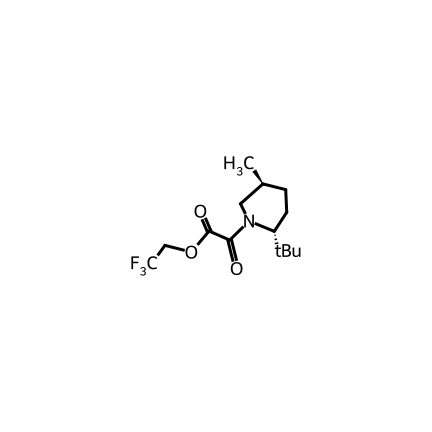 C[C@H]1CC[C@H](C(C)(C)C)N(C(=O)C(=O)OCC(F)(F)F)C1